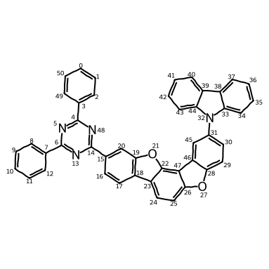 c1ccc(-c2nc(-c3ccccc3)nc(-c3ccc4c(c3)oc3c4ccc4oc5ccc(-n6c7ccccc7c7ccccc76)cc5c43)n2)cc1